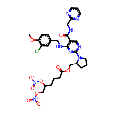 COc1ccc(CNc2nc(N3CCC[C@H]3COC(=O)CCCC(CO[N+](=O)[O-])O[N+](=O)[O-])ncc2C(=O)NCc2ncccn2)cc1Cl